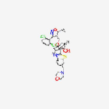 O[C@@]1(c2nc3ccc(CN4CCOCC4)cc3s2)[C@@H]2CC3[C@H]1C[C@]3(OCc1c(-c3c(Cl)cccc3Cl)noc1C1CC1)C2